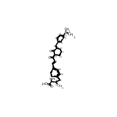 CC(Cc1ccc(C=CC(=O)C2CCCC(=Cc3ccc(N(C)C)cc3)C2=O)cc1)C(N)C(=O)O